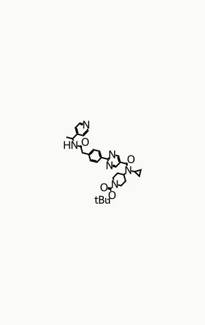 CC(NC(=O)Cc1ccc(-c2ncc(C(=O)N(C3CC3)C3CCN(C(=O)OC(C)(C)C)CC3)cn2)cc1)c1ccncc1